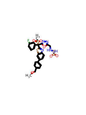 COCc1ccc(-c2ccc3nc(C(c4cccc(F)c4)(c4nnc(CNN[SH](=O)=O)o4)S(C)(=O)=O)sc3c2)cc1